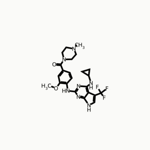 COc1cc(C(=O)N2CCN(C)CC2)ccc1Nc1nc(NC2CC2)c2c(C(F)(F)F)c[nH]c2n1